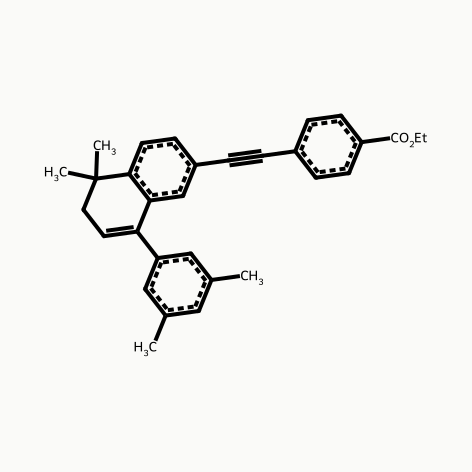 CCOC(=O)c1ccc(C#Cc2ccc3c(c2)C(c2cc(C)cc(C)c2)=CCC3(C)C)cc1